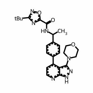 CC(NC(=O)c1nc(C(C)(C)C)no1)c1ccc(-c2ccnc3[nH]nc(N4CCOCC4)c23)cc1